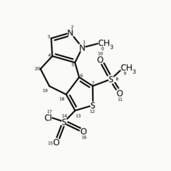 Cn1ncc2c1-c1c(S(C)(=O)=O)sc(S(=O)(=O)Cl)c1CC2